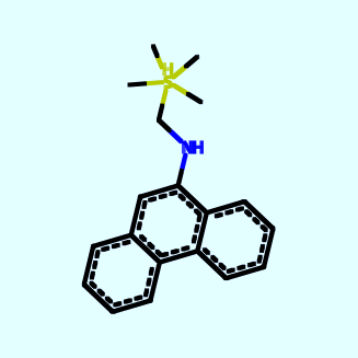 C[SH](C)(C)(C)CNc1cc2ccccc2c2ccccc12